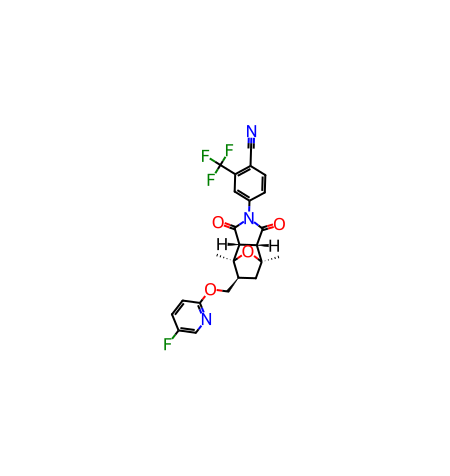 C[C@]12O[C@](C)(C[C@H]1COc1ccc(F)cn1)[C@H]1C(=O)N(c3ccc(C#N)c(C(F)(F)F)c3)C(=O)[C@H]12